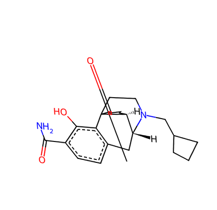 NC(=O)c1ccc2c(c1O)C13CCN(CC4CCC4)[C@H](C2)[C@@H]1CCC(=O)C3